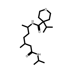 CC(CCC(C)NC(=O)C1(C(C)C)CCOCC1)CC(=O)NC(C)C